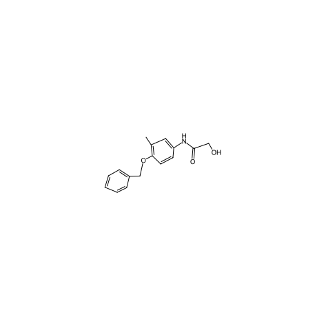 Cc1cc(NC(=O)CO)ccc1OCc1ccccc1